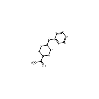 CC(=O)N1CCC(Oc2ccccc2)CC1